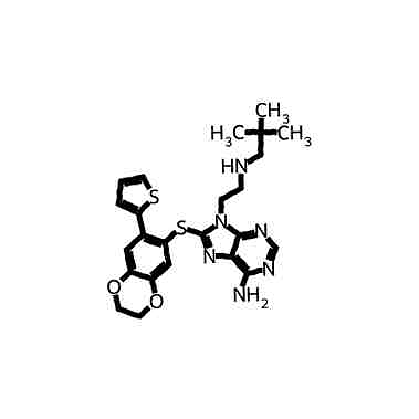 CC(C)(C)CNCCn1c(Sc2cc3c(cc2-c2cccs2)OCCO3)nc2c(N)ncnc21